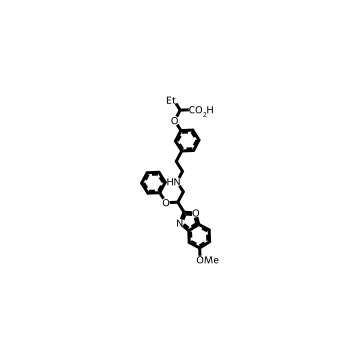 CCC(Oc1cccc(CCNCC(Oc2ccccc2)c2nc3cc(OC)ccc3o2)c1)C(=O)O